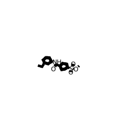 CCc1cccc(NC(=O)c2ccc(S(=O)(=O)OC)cc2)c1